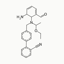 CCOC(C)N(Cc1ccc(-c2ccccc2C#N)cc1)C1C(C=O)=CC=CC1N